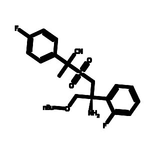 CCCCOC[C@](N)(CS(=O)(=O)C(C)(C#N)c1ccc(F)cc1)c1ccccc1F